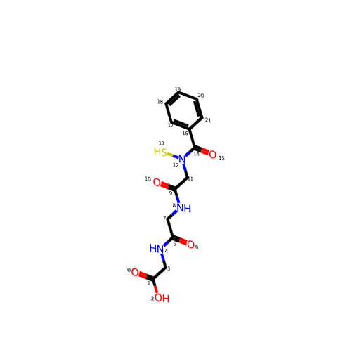 O=C(O)CNC(=O)CNC(=O)CN(S)C(=O)c1ccccc1